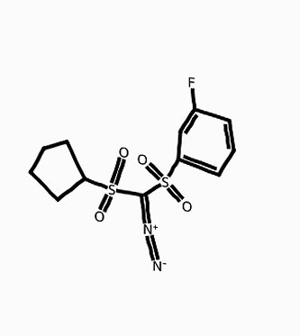 [N-]=[N+]=C(S(=O)(=O)c1cccc(F)c1)S(=O)(=O)C1CCCC1